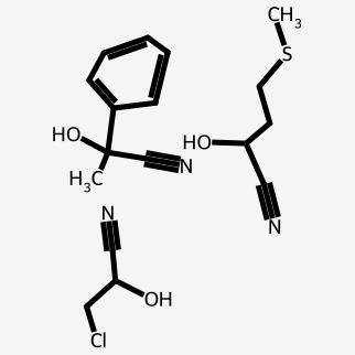 CC(O)(C#N)c1ccccc1.CSCCC(O)C#N.N#CC(O)CCl